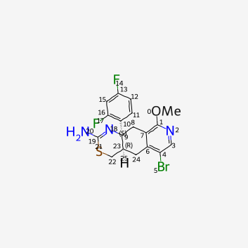 COc1ncc(Br)c2c1C[C@]1(c3ccc(F)cc3F)N=C(N)SC[C@@H]1C2